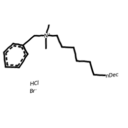 CCCCCCCCCCCCCCCC[N+](C)(C)Cc1ccccc1.Cl.[Br-]